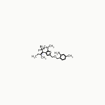 CC/C(C)=C(/c1cc(COCc2ccc(C)cc2N)sc1N(C)C)C(F)(F)F